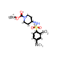 CC(C)(C)OC(=O)N1CCC(NS(=O)(=O)c2ccc([N+](=O)[O-])cc2[N+](=O)[O-])CC1